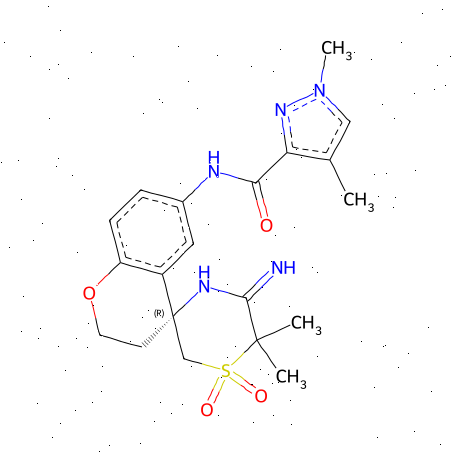 Cc1cn(C)nc1C(=O)Nc1ccc2c(c1)[C@]1(CCO2)CS(=O)(=O)C(C)(C)C(=N)N1